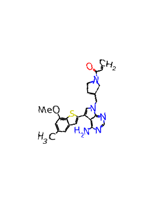 C=CC(=O)N1CCC(Cn2cc(-c3cc4cc(C)cc(OC)c4s3)c3c(N)ncnc32)C1